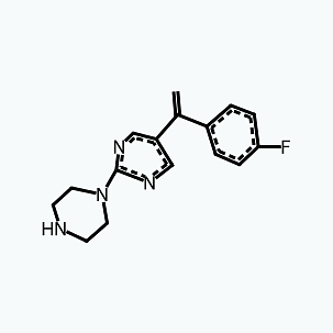 C=C(c1ccc(F)cc1)c1cnc(N2CCNCC2)nc1